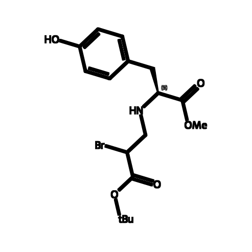 COC(=O)[C@H](Cc1ccc(O)cc1)NCC(Br)C(=O)OC(C)(C)C